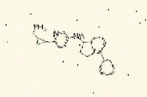 PCC1CC1c1ccc(NC2CCc3c(-c4ccccc4)cccc32)cn1